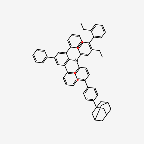 CCc1ccccc1-c1ccc(N(c2ccc(-c3ccc(C45CC6CC(CC(C6)C4)C5)cc3)cc2)c2c(-c3ccccc3)cc(-c3ccccc3)cc2-c2ccccc2)cc1CC